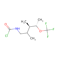 CC(CNC(=O)Cl)[C@@H](C)[C@H](C)OC(F)(F)F